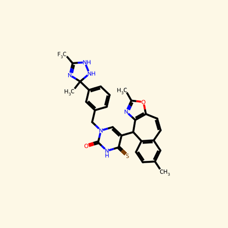 Cc1ccc2c(c1)C=Cc1oc(C)nc1C2c1cn(Cc2cccc(C3(C)N=C(C(F)(F)F)NN3)c2)c(=O)[nH]c1=S